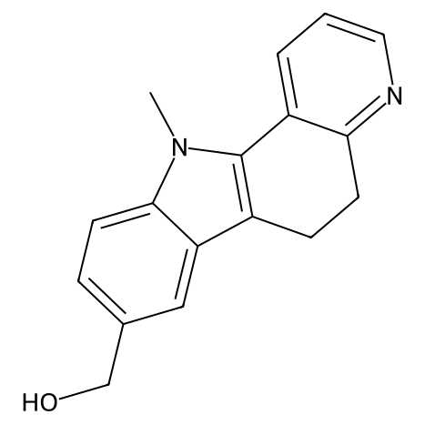 Cn1c2c(c3cc(CO)ccc31)CCc1ncccc1-2